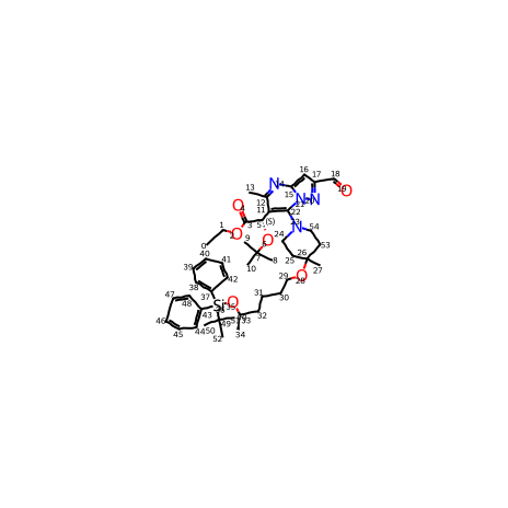 CCOC(=O)[C@@H](OC(C)(C)C)c1c(C)nc2cc(C=O)nn2c1N1CCC(C)(OCCCC[C@@H](C)O[Si](c2ccccc2)(c2ccccc2)C(C)(C)C)CC1